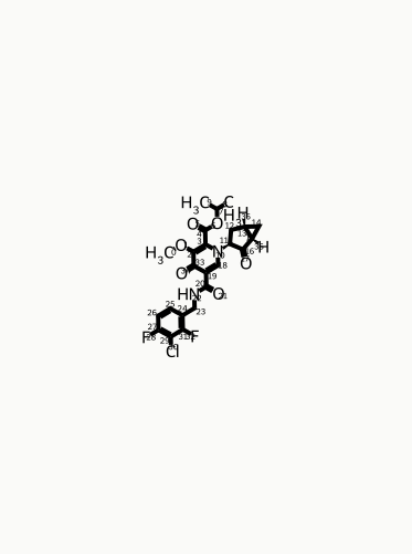 COc1c(C(=O)OC(C)C)n([C@H]2C[C@@H]3C[C@@H]3C2=O)cc(C(=O)NCc2ccc(F)c(Cl)c2F)c1=O